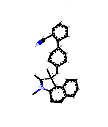 CC1=[N+](C)c2ccc3ccccc3c2C1(C)Cc1ccc(-c2ccccc2C#N)cc1